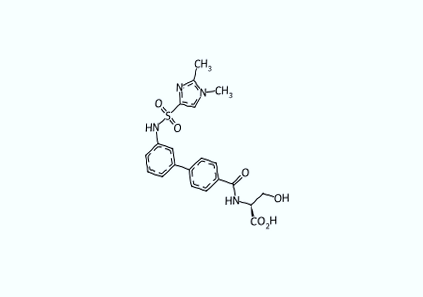 Cc1nc(S(=O)(=O)Nc2cccc(-c3ccc(C(=O)N[C@@H](CO)C(=O)O)cc3)c2)cn1C